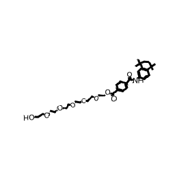 CC1(C)CCC(C)(C)c2cc(NC(=O)c3ccc(C(=O)OCCOCCOCCOCCOCCOCCO)cc3)ccc21